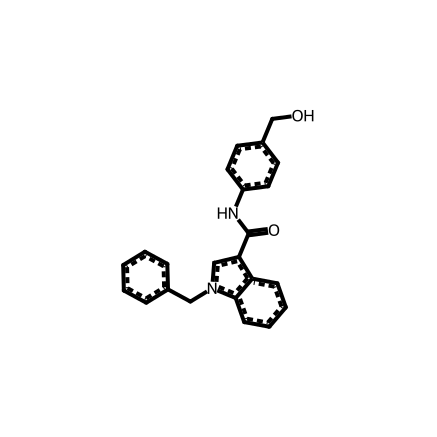 O=C(Nc1ccc(CO)cc1)c1cn(Cc2ccccc2)c2ccccc12